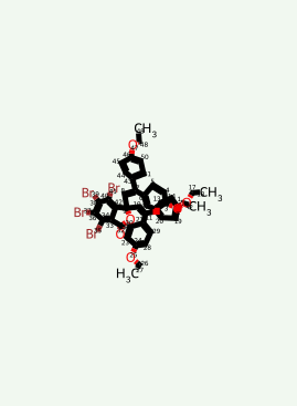 CCOc1ccc(C(=CC2(C=C(c3ccc(OCC)cc3)c3ccc(OCC)cc3)OC(=O)c3c(Br)c(Br)c(Br)c(Br)c32)c2ccc(OCC)cc2)cc1